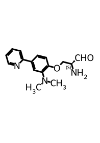 CN(C)c1cc(-c2ccccn2)ccc1OC[C@H](N)C=O